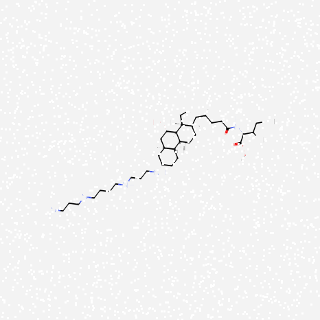 CCC(C)[C@H](NC(=O)CC[C@@H](C)[C@H]1CC[C@H]2[C@@H]3[C@H](O)C[C@@H]4C[C@@H](NCCCNCCCCNCCCN)CC[C@]4(C)[C@H]3CC[C@]12C)C(=O)OC